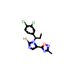 CCC(c1ccc(Cl)c(Cl)c1)n1c(-c2nc(C)no2)cnc1S